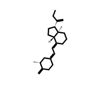 C=C1CC/C(=C/C=C2\CCC[C@]3(C)[C@@H](C(=C)CC)CC[C@@H]23)C[C@H]1C